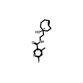 Cc1cc(F)ncc1C(=O)NCC[C@@]1(O)CC/C=C/CCC1